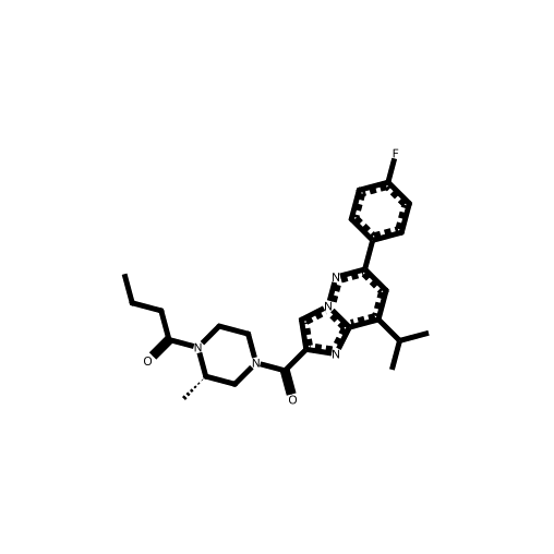 CCCC(=O)N1CCN(C(=O)c2cn3nc(-c4ccc(F)cc4)cc(C(C)C)c3n2)C[C@@H]1C